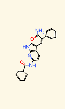 NC(=O)C(=Cc1c[nH]c2nc(NC(=O)c3ccccc3)ccc12)c1ccccc1